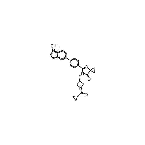 Cn1ccc2cc(-c3ccc(C4=NC5(CC5)C(=O)N4CC4CN(C(=O)C5CC5)C4)cc3)ccc21